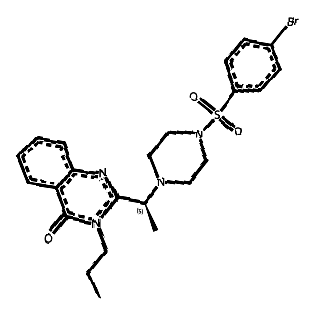 CCCn1c([C@H](C)N2CCN(S(=O)(=O)c3ccc(Br)cc3)CC2)nc2ccccc2c1=O